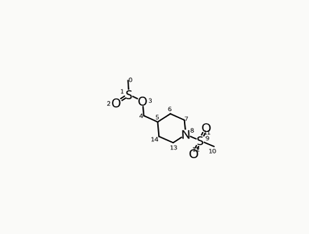 CS(=O)OCC1CCN(S(C)(=O)=O)CC1